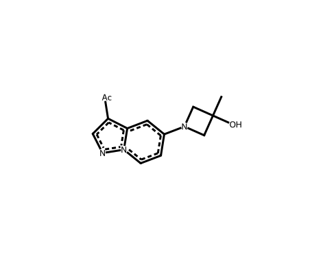 CC(=O)c1cnn2ccc(N3CC(C)(O)C3)cc12